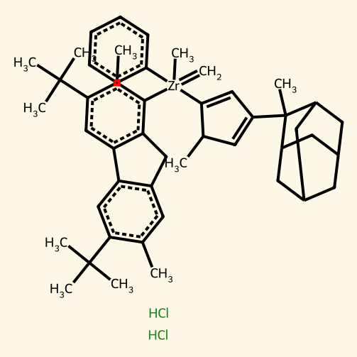 Cl.Cl.[CH2]=[Zr]([CH3])([C]1=CC(C2(C)C3CC4CC(C3)CC2C4)=CC1C)([c]1ccccc1)[c]1c(C)c(C(C)(C)C)cc2c1Cc1cc(C)c(C(C)(C)C)cc1-2